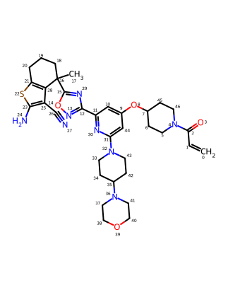 C=CC(=O)N1CCC(Oc2cc(-c3noc(C4(C)CCCc5sc(N)c(C#N)c54)n3)nc(N3CCC(N4CCOCC4)CC3)c2)CC1